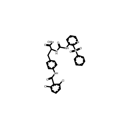 COC(=O)C(Cc1ccc(NC(=O)c2c(Cl)cccc2Cl)cc1)NC(=O)Nc1cccnc1S(=O)(=O)c1ccccc1